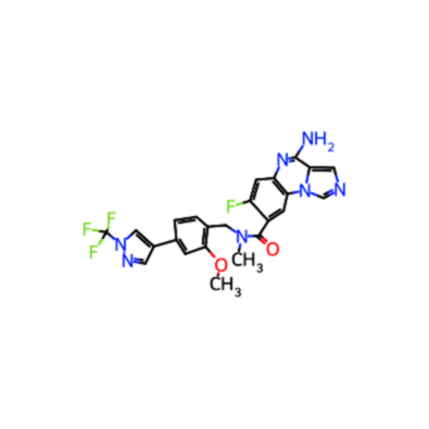 COc1cc(-c2cnn(C(F)(F)F)c2)ccc1CN(C)C(=O)c1cc2c(cc1F)nc(N)c1cncn12